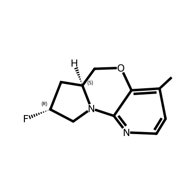 Cc1ccnc2c1OC[C@@H]1C[C@@H](F)CN21